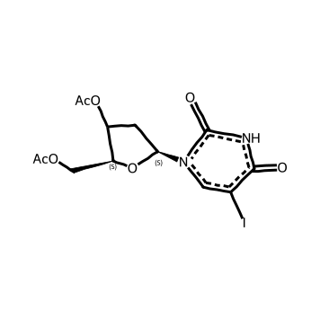 CC(=O)OC[C@@H]1O[C@H](n2cc(I)c(=O)[nH]c2=O)CC1OC(C)=O